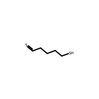 S=CCCCCS